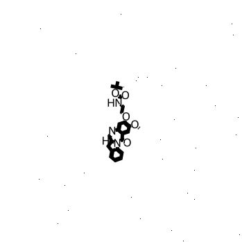 COc1cc2c(cc1OCCNC(=O)OC(C)(C)C)N=C[C@@H]1Cc3ccccc3N1C2=O